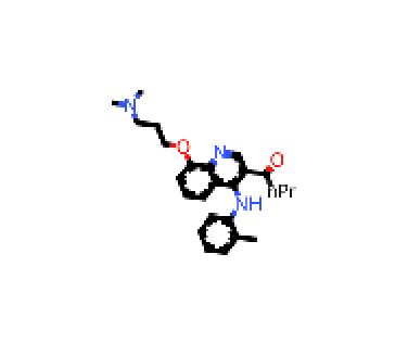 CCCC(=O)c1cnc2c(OCCCN(C)C)cccc2c1Nc1ccccc1C